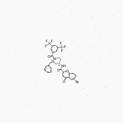 O=C(N[C@H]1CCN(C(=O)c2cc(C(F)(F)F)cc(C(F)(F)F)c2)[C@H](Cc2ccccc2)C1)c1cc(=O)c2cc(Br)ccc2o1